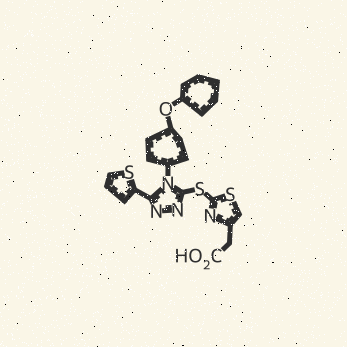 O=C(O)Cc1csc(Sc2nnc(-c3cccs3)n2-c2ccc(Oc3ccccc3)cc2)n1